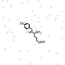 COCCCC(N)NCc1ccc(Cl)cc1